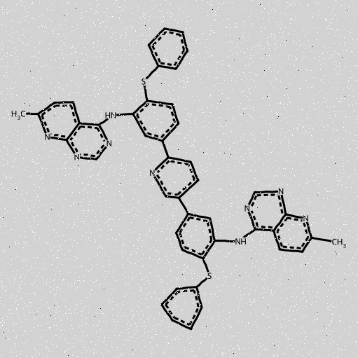 Cc1ccc2c(Nc3cc(-c4ccc(-c5ccc(Sc6ccccc6)c(Nc6ncnc7nc(C)ccc67)c5)nc4)ccc3Sc3ccccc3)ncnc2n1